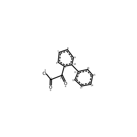 O=C(Cl)C(=O)c1ccccc1-c1ccccc1